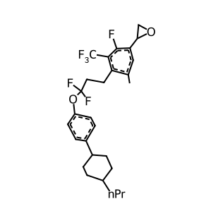 CCCC1CCC(c2ccc(OC(F)(F)CCc3c(C)cc(C4CO4)c(F)c3C(F)(F)F)cc2)CC1